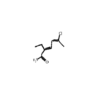 CC/C(=C\C=C(/C)Cl)C(N)=O